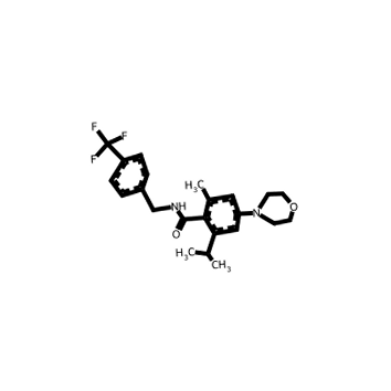 Cc1cc(N2CCOCC2)cc(C(C)C)c1C(=O)NCc1ccc(C(F)(F)F)cc1